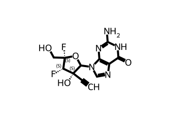 C#C[C@]1(O)C(n2cnc3c(=O)[nH]c(N)nc32)O[C@](F)(CO)[C@H]1F